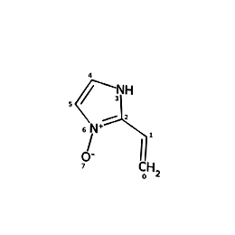 C=Cc1[nH]cc[n+]1[O-]